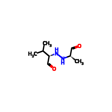 CC(C)[C@@H](C=O)NN[C@@H](C)C=O